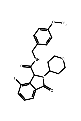 O=C(NCc1ccc(OC(F)(F)F)cc1)C1c2c(F)cccc2C(=O)N1C1CCOCC1